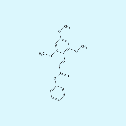 COc1cc(OC)c(C=CC(=O)Oc2ccccc2)c(OC)c1